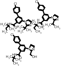 CCC(C)(C)NC(=O)c1cc(-c2ccc(Cl)cc2)cc(-n2ccnc2C(C)(C)C)c1.CCC(C)(C)NC(=O)c1cc(-c2ccc(Cl)cc2)cc(-n2ccnc2C(C)C)c1.CCC(C)(C)NC(=O)c1cc(-c2ccc(Cl)cc2)cc(-n2ccnc2CO)c1